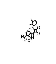 CC1CCCC(Nc2c(Nc3cccc(C(=O)N(C)C)c3O)c(=O)c2=O)C1C